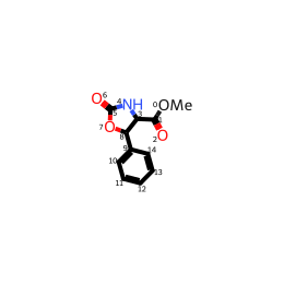 COC(=O)C1NC(=O)OC1c1ccccc1